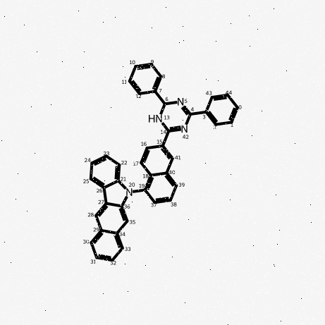 c1ccc(C2=NC(c3ccccc3)NC(c3ccc4c(-n5c6ccccc6c6cc7ccccc7cc65)cccc4c3)=N2)cc1